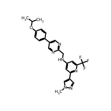 CC(C)Oc1ccc(-c2cnc(CNc3cc(-c4cnn(C)c4)nc(C(F)(F)F)c3)nc2)cc1